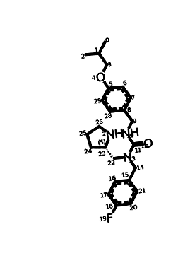 CC(C)COc1ccc(CNC(=O)N(Cc2ccc(F)cc2)C[C@@H]2CCCN2)cc1